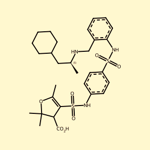 CC1=C(S(=O)(=O)Nc2ccc(S(=O)(=O)Nc3ccccc3CN[C@@H](C)CC3CCCCC3)cc2)C(C(=O)O)C(C)(C)O1